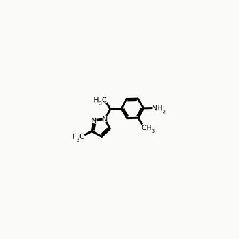 Cc1cc(C(C)n2ccc(C(F)(F)F)n2)ccc1N